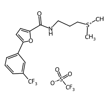 C[S+](C)CCCNC(=O)c1ccc(-c2cccc(C(F)(F)F)c2)o1.O=S(=O)([O-])C(F)(F)F